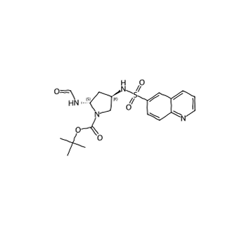 CC(C)(C)OC(=O)N1C[C@H](NS(=O)(=O)c2ccc3ncccc3c2)C[C@H]1NC=O